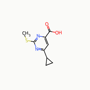 CSc1nc(C(=O)O)cc(C2CC2)n1